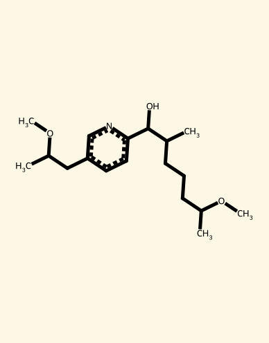 COC(C)CCCC(C)C(O)c1ccc(CC(C)OC)cn1